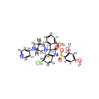 COc1ccc(S(=O)(=O)N2C(=O)C(c3ccccc3OC)(N3C[C@@H]4CN(c5ccncc5)[C@@H]4C3)c3cc(Cl)ccc32)c(OC)c1